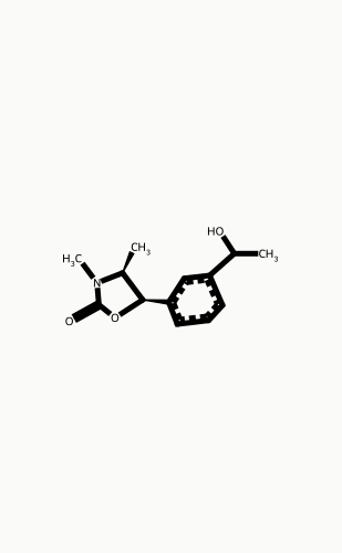 CC(O)c1cccc([C@H]2OC(=O)N(C)[C@H]2C)c1